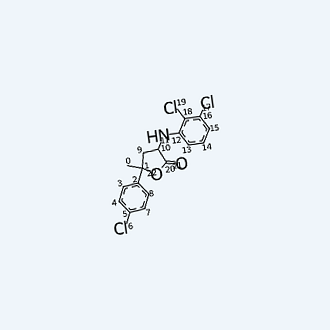 CC1(c2ccc(Cl)cc2)CC(Nc2cccc(Cl)c2Cl)C(=O)O1